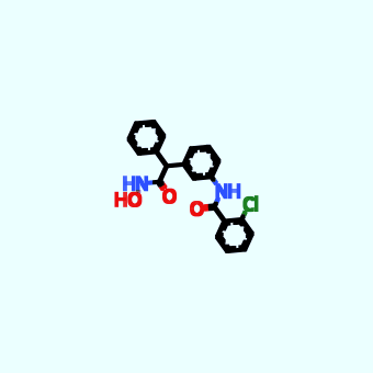 O=C(Nc1cccc(C(C(=O)NO)c2ccccc2)c1)c1ccccc1Cl